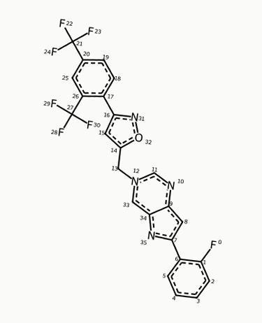 Fc1ccccc1-c1cc2ncn(Cc3cc(-c4ccc(C(F)(F)F)cc4C(F)(F)F)no3)cc-2n1